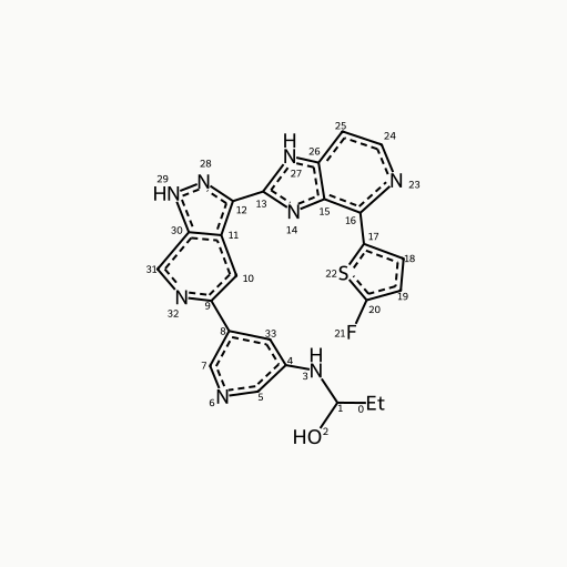 CCC(O)Nc1cncc(-c2cc3c(-c4nc5c(-c6ccc(F)s6)nccc5[nH]4)n[nH]c3cn2)c1